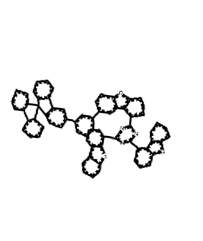 c1cc(-c2ccc3c(c2)-c2ccccc2C32c3ccccc3-c3ccccc32)cc(-c2ccc3oc4cccc(-c5nc(-c6cccc7c6sc6ccccc67)nc(-c6cccc7sc8ccccc8c67)n5)c4c3c2)c1